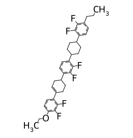 CCCc1ccc(C2CCC(c3ccc(C4CC=C(c5ccc(OCC)c(F)c5F)CC4)c(F)c3F)CC2)c(F)c1F